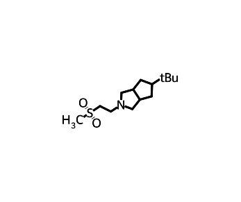 CC(C)(C)C1CC2CN(CCS(C)(=O)=O)CC2C1